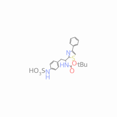 CC(C)(C)OC(=O)NC(Cc1ccc(NS(=O)(=O)O)cc1)c1nc(-c2ccccc2)cs1